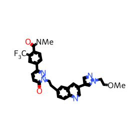 CNC(=O)c1ccc(-c2ccc(=O)n(CCc3ccc4ncc(-c5cnn(CCOC)c5)cc4c3)n2)cc1C(F)(F)F